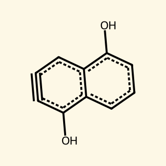 Oc1c#ccc2c(O)cccc12